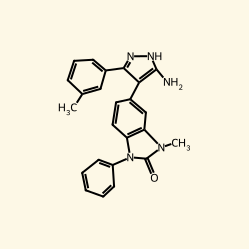 Cc1cccc(-c2n[nH]c(N)c2-c2ccc3c(c2)n(C)c(=O)n3-c2ccccc2)c1